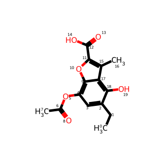 CCc1cc(OC(C)=O)c2oc(C(=O)O)c(C)c2c1O